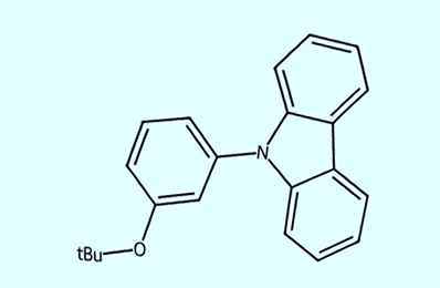 CC(C)(C)Oc1cccc(-n2c3ccccc3c3ccccc32)c1